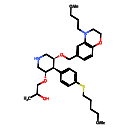 COCCCCSc1ccc([C@@H]2[C@@H](OCc3ccc4c(c3)N(CCCOC)CCO4)CNC[C@H]2OCC(C)O)cc1